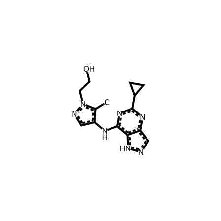 OCCn1ncc(Nc2nc(C3CC3)nc3cn[nH]c23)c1Cl